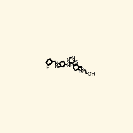 OCCn1cc2c(n1)CCc1c-2sc2ncnc(Nc3ccc4c(cnn4Cc4cccc(F)c4)c3)c12